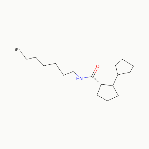 CC(C)CCCCCCNC(=O)[C@H]1CCCC1C1CCCC1